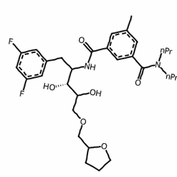 CCCN(CCC)C(=O)c1cc(C)cc(C(=O)NC(Cc2cc(F)cc(F)c2)[C@@H](O)C(O)COCC2CCCO2)c1